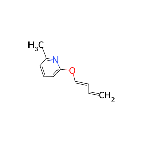 C=C/C=C/Oc1cccc(C)n1